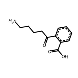 NCCCCC(=O)c1ccccc1C(=O)O